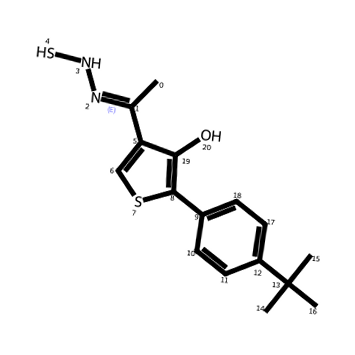 C/C(=N\NS)c1csc(-c2ccc(C(C)(C)C)cc2)c1O